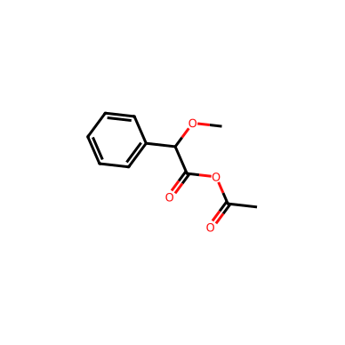 COC(C(=O)OC(C)=O)c1ccccc1